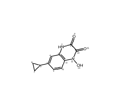 O=c1[nH]c2cc(C3CC3)ccc2n(O)c1=O